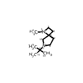 CN1CCC12CCN(C(C)(C)C)C2